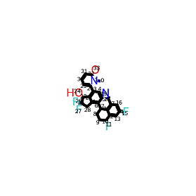 Cn1c(-c2ccc(C3CCC(F)c4cc(F)cc(C#N)c43)c3c2[C@H](O)C(F)(F)C3)cccc1=O